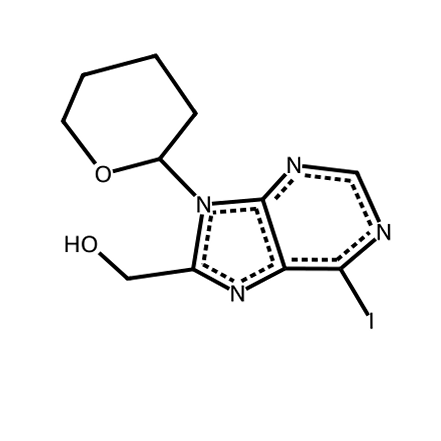 OCc1nc2c(I)ncnc2n1C1CCCCO1